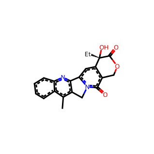 CC[C@@]1(O)C(=O)OCc2c1cc1n(c2=O)Cc2c-1nc1ccccc1c2C